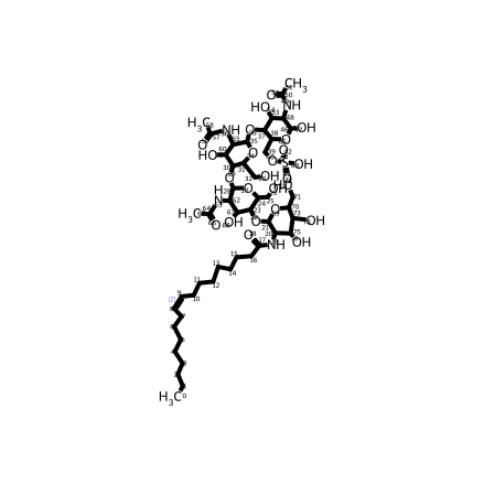 CCCCCCCC/C=C\CCCCCCCC(=O)NC1C(OC2C(CO)OC(OC3C(CO)OC(OC4C(COS(=O)(=O)O)OC(O)C(NC(C)=O)C4O)C(NC(C)=O)C3O)C(NC(C)=O)C2O)OC(CO)C(O)C1O